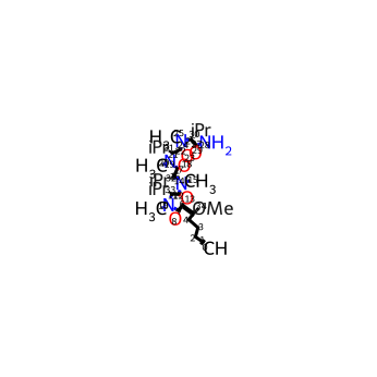 C#CCCC/C(=C\C(=O)N(C)[C@H](C(=O)N(C)[C@H](C(=O)N(C)[C@H](C(=O)N(C)[C@H](C(N)=O)C(C)C)C(C)C)C(C)C)C(C)C)OC